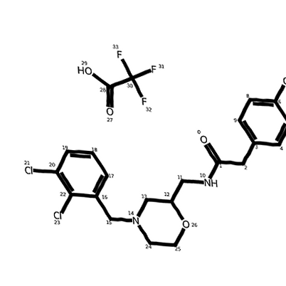 O=C(Cc1ccc(Cl)cc1)NCC1CN(Cc2cccc(Cl)c2Cl)CCO1.O=C(O)C(F)(F)F